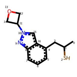 CC(S)Cc1cccc2nn(C3COC3)cc12